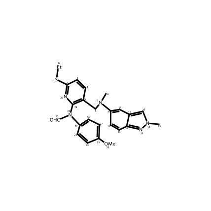 CCSc1ccc(CN(C)c2ccc3nn(C)cc3c2)c(N(C=O)c2ccc(OC)cc2)n1